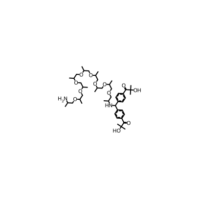 CC(N)COC(C)COC(C)COC(C)COC(C)COC(C)COC(C)COC(C)COCC(C)NC(c1ccc(C(=O)C(C)(C)O)cc1)c1ccc(C(=O)C(C)(C)O)cc1